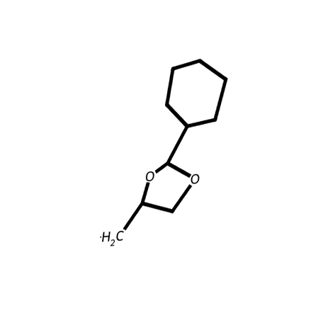 [CH2]C1COC(C2CCCCC2)O1